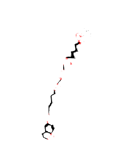 COC(=O)CCCCCOCCOCCOCCCCCCOc1ccc2c(c1)CCCO2